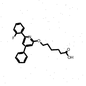 O=C(O)CCCCCOc1cc(-c2ccccc2)cc(-c2ccccc2F)n1